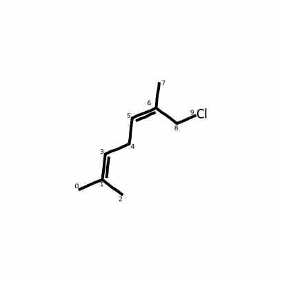 CC(C)=CCC=C(C)CCl